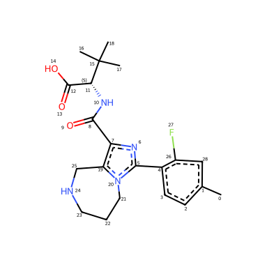 Cc1ccc(-c2nc(C(=O)N[C@H](C(=O)O)C(C)(C)C)c3n2CCCNC3)c(F)c1